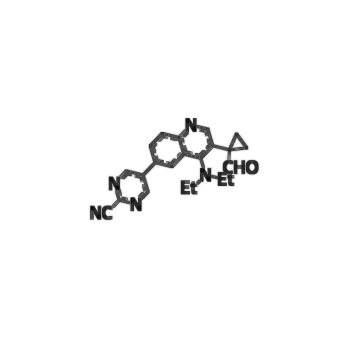 CCN(CC)c1c(C2(C=O)CC2)cnc2ccc(-c3cnc(C#N)nc3)cc12